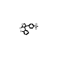 CS(=O)(=O)c1ccc(C2=C(c3ccccc3F)C(=O)OC2)cc1